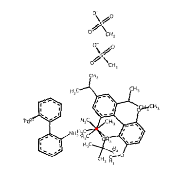 COc1ccc(OC)c(P(C(C)(C)C)C(C)(C)C)c1-c1c(C(C)C)cc(C(C)C)cc1C(C)C.CS(=O)(=O)[O-].CS(=O)(=O)[O-].Nc1ccccc1-c1cccc[c]1[Pd+2]